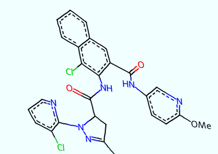 COc1ccc(NC(=O)c2cc3ccccc3c(Cl)c2NC(=O)C2CC(C(F)(F)F)=NN2c2ncccc2Cl)cn1